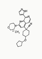 C[C@@H]1COCCN1c1cc(C2(C#N)CCC(OC3CCCC3)CC2)c2ccnc(-c3ccn[nH]3)c2n1